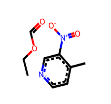 CCOC=O.Cc1ccncc1[N+](=O)[O-]